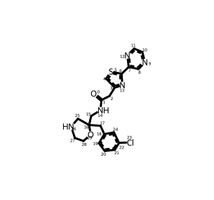 O=C(Cc1csc(-c2cnccn2)n1)NCC1(Cc2cccc(Cl)c2)CNCCO1